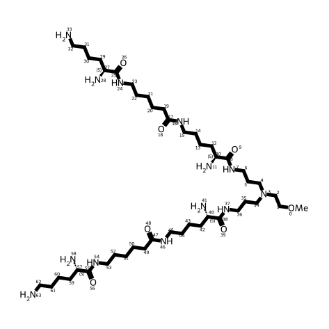 COCCN(CCCNC(=O)[C@@H](N)CCCCNC(=O)CCCCCNC(=O)[C@@H](N)CCCCN)CCCNC(=O)[C@@H](N)CCCCNC(=O)CCCCCNC(=O)[C@@H](N)CCCCN